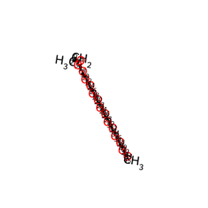 C=C(C)C(=O)OCCOCCOCCOCCOCCOCCOCCOCCOCCOCCOCCOCCOCCOC